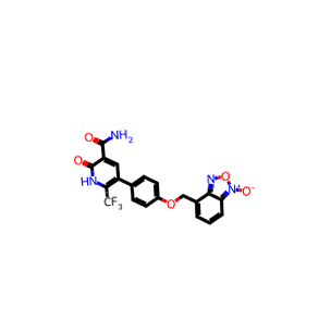 NC(=O)c1cc(-c2ccc(OCc3cccc4c3no[n+]4[O-])cc2)c(C(F)(F)F)[nH]c1=O